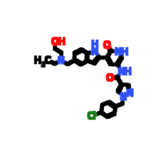 CCN(CCO)Cc1ccc2[nH]c(-c3cc(NC(=O)c4cnn(CC5=CCC(Cl)C=C5)c4)c[nH]c3=O)cc2c1